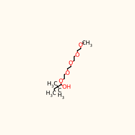 CCC(C)(C)C(O)OCCOCCOCCOCCOC